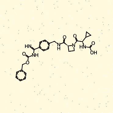 N=C(NC(=O)OCc1ccccc1)c1ccc(CNC(=O)[C@@H]2CCN2C(=O)[C@H](NC(=O)O)C2CC2)cc1